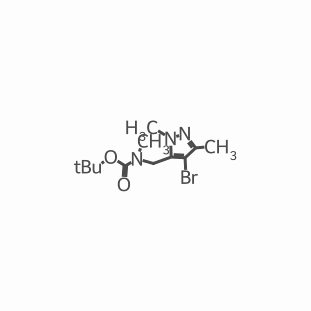 Cc1nn(C)c(CN(C)C(=O)OC(C)(C)C)c1Br